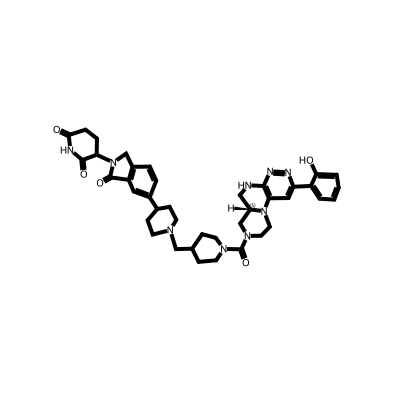 O=C1CCC(N2Cc3ccc(C4CCN(CC5CCN(C(=O)N6CCN7c8cc(-c9ccccc9O)nnc8NC[C@H]7C6)CC5)CC4)cc3C2=O)C(=O)N1